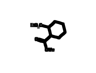 CCOC(=O)C1CCCCC1C(=O)OC